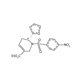 CCOC(=O)C1=CC[C@H](c2ccco2)N(S(=O)(=O)c2ccc([N+](=O)[O-])cc2)C1